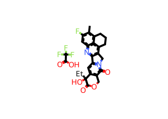 CCC1(O)C(=O)OCc2c1cc1n(c2=O)Cc2c-1nc1cc(F)c(C)c3c1c2CCC3.O=C(O)C(F)(F)F